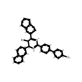 CCC1C(c2ccc3ccccc3c2)=NC(c2ccc(-c3ccc(Cl)cc3)cc2)=NC1c1ccc2ccccc2c1